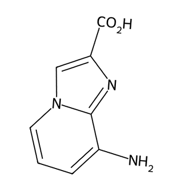 Nc1cccn2cc(C(=O)O)nc12